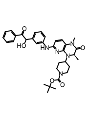 C[C@@H]1C(=O)N(C)c2ccc(Nc3cccc(C(O)C(=O)c4ccccc4)c3)nc2N1C1CCN(C(=O)OC(C)(C)C)CC1